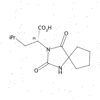 CC(C)C[C@H](C(=O)O)N1C(=O)NC2(CCCC2)C1=O